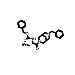 CC(C)C[C@H](NC(=O)OCc1ccccc1)C(=O)N1CC2CC(CN(Cc3ccccc3)C2)C1